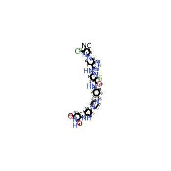 N#Cc1ccc(N2CCc3c(ncnc3Nc3ccc(C(=O)N[C@H]4CC[C@H](CN5CCN(c6ccc(NC7CCC(=O)NC7=O)cc6)CC5)CC4)c(F)n3)C2)nc1Cl